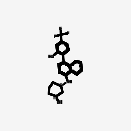 Oc1cc(C(F)(F)F)ccc1-c1nnc(N[C@H]2CCC[C@H](O)C2)c2ccccc12